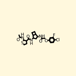 CC(=O)NC1SCCC1C(=O)NC1C[C@H](NC(=O)COc2ccc(Cl)c(F)c2)C2CCC12